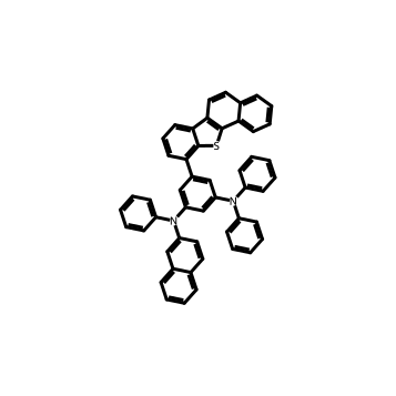 c1ccc(N(c2ccccc2)c2cc(-c3cccc4c3sc3c5ccccc5ccc43)cc(N(c3ccccc3)c3ccc4ccccc4c3)c2)cc1